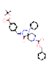 CC(C)(C)OC(=O)c1ccc(CN2CN(c3ccccc3)C3(CCN(C(=O)OCc4ccccc4)CC3)C2=O)cc1